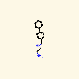 NCCNCc1ccc(-c2c[c]ccc2)cc1